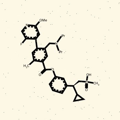 COc1cc(-c2cc(C)c(C(=O)Oc3cccc([C@@H](CP(C)(=O)O)C4CC4)c3)cc2CN(C(C)C)C(C)C)c(F)cn1